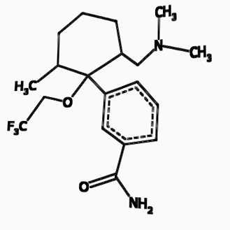 CC1CCCC(CN(C)C)C1(OCC(F)(F)F)c1cccc(C(N)=O)c1